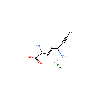 CC#CC(N)C=CC(N)C(=O)O.Cl.Cl